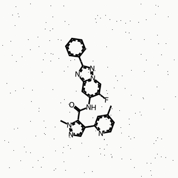 Cc1ccnc(-c2cnn(C)c2C(=O)Nc2cc3nc(-c4ccccc4)nn3cc2F)c1